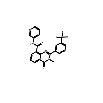 Cn1c(-c2cccc(C(F)(F)F)c2)nc2c(C(=O)Nc3cccnc3)cccc2c1=O